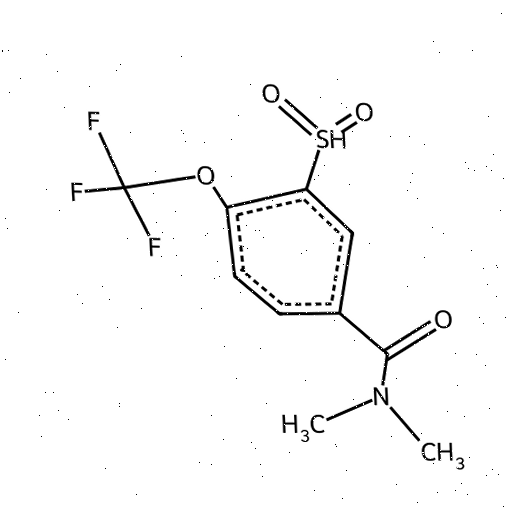 CN(C)C(=O)c1ccc(OC(F)(F)F)c([SH](=O)=O)c1